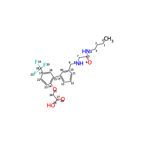 CCCCNC(=O)CNCc1cccc(-c2cc(C(F)(F)F)ccc2OCC(=O)O)c1